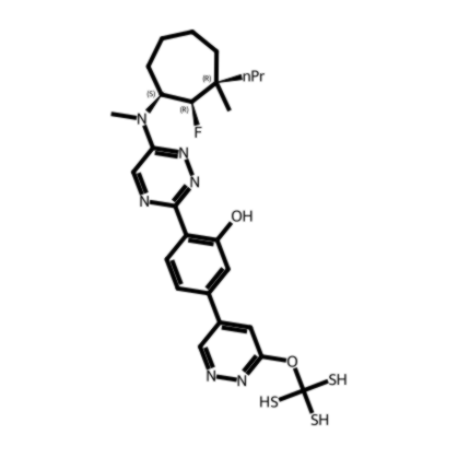 CCC[C@]1(C)CCCC[C@H](N(C)c2cnc(-c3ccc(-c4cnnc(OC(S)(S)S)c4)cc3O)nn2)[C@@H]1F